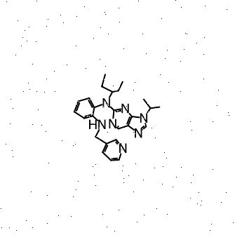 CCC(CC)N(c1ncc2ncn(C(C)C)c2n1)c1ccccc1NCc1cccnc1